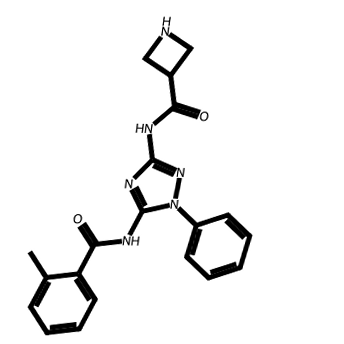 Cc1ccccc1C(=O)Nc1nc(NC(=O)C2CNC2)nn1-c1ccccc1